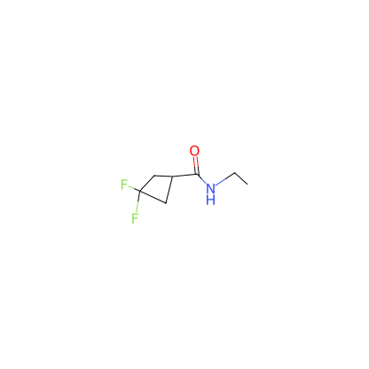 CCNC(=O)C1CC(F)(F)C1